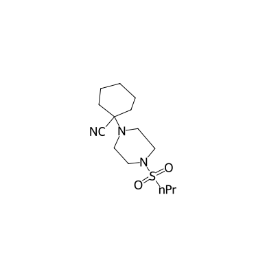 CCCS(=O)(=O)N1CCN(C2(C#N)CCCCC2)CC1